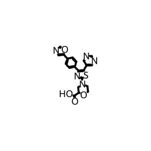 O=C(O)C1CN(c2nc(-c3ccc(-c4cnco4)cc3)c(-c3cncnc3)s2)CCO1